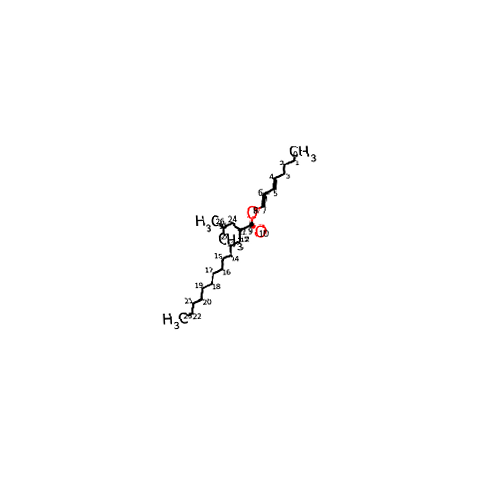 CCCCC=CC=COC(=O)C(CCCCCCCCCCCC)CC(C)C